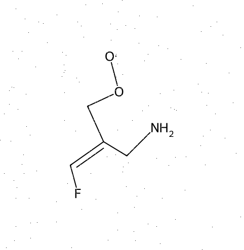 NC/C(=C\F)CO[O]